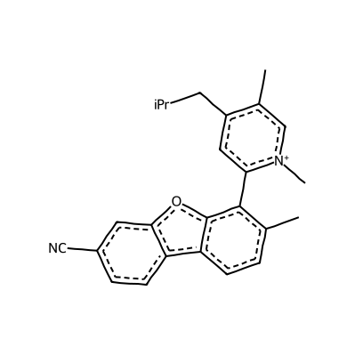 Cc1c[n+](C)c(-c2c(C)ccc3c2oc2cc(C#N)ccc23)cc1CC(C)C